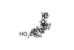 Cc1nccc(-c2ccc3nc(Nc4cc(C(C)N5CCN(C(=O)O)C(C(C)(C)C)C5)ccn4)[nH]c3c2)n1